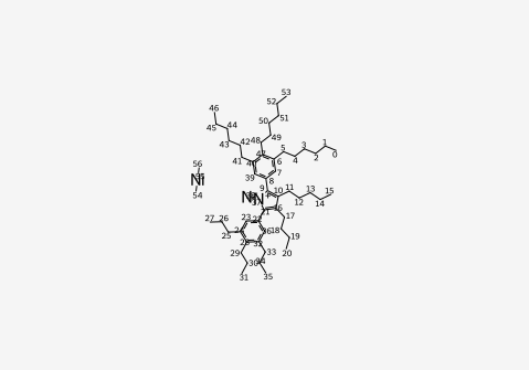 CCCCCCc1cc(C2=C(CCCCC)C(CCCC)=C(c3cc(CCC)c(CCC)c(CCC)c3)[N+]2=[N-])cc(CCCCCC)c1CCCCCC.[CH3][Ni][CH3]